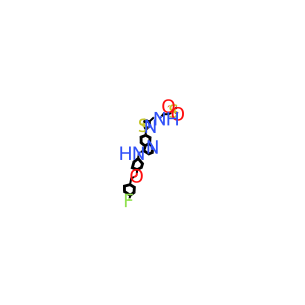 CS(=O)(=O)CCNCc1csc(-c2ccc3c(Nc4ccc(OCc5ccc(F)cc5)cc4)ccnc3c2)n1